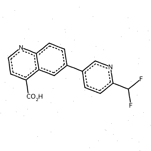 O=C(O)c1ccnc2ccc(-c3ccc(C(F)F)nc3)cc12